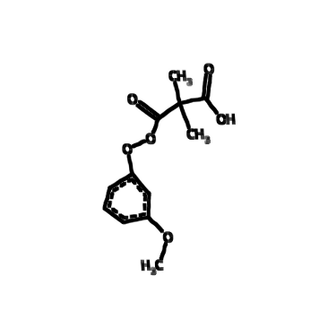 COc1cccc(OOC(=O)C(C)(C)C(=O)O)c1